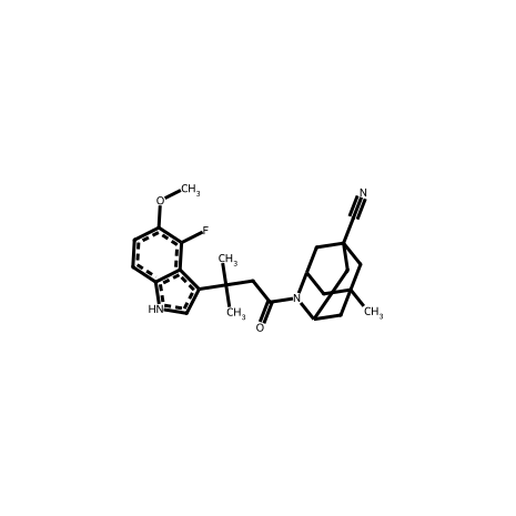 COc1ccc2[nH]cc(C(C)(C)CC(=O)N3C4CC5(C)CC3CC(C#N)(C4)C5)c2c1F